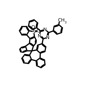 Cc1cccc(-c2nc(-c3ccccc3)nc(-c3ccc4c(c3)C3(c5ccccc5-c5ccccc5-4)c4ccccc4-c4c3ccc3c4-c4ccccc4S3(=O)=O)n2)c1